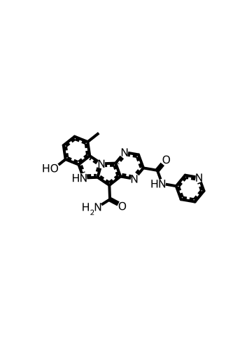 Cc1ccc(O)c2[nH]c3c(C(N)=O)c4nc(C(=O)Nc5cccnc5)cnc4n3c12